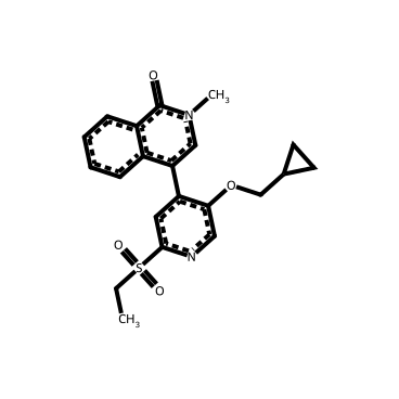 CCS(=O)(=O)c1cc(-c2cn(C)c(=O)c3ccccc23)c(OCC2CC2)cn1